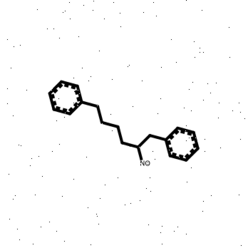 O=NC(CCCCc1ccccc1)Cc1ccccc1